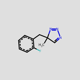 CC1(Cc2ccccc2F)C=NN=N1